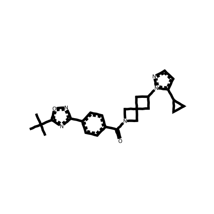 CC(C)(C)c1nc(-c2ccc(C(=O)N3CC4(CC(n5nccc5C5CC5)C4)C3)cc2)no1